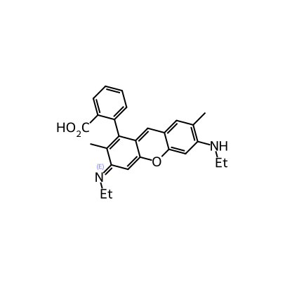 CC/N=c1\cc2oc3cc(NCC)c(C)cc3cc-2c(-c2ccccc2C(=O)O)c1C